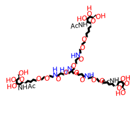 CC(=O)N[C@@H]1[C@@H](O)[C@@H](O)[C@@H](CO)O[C@@H]1CCCCCOCCOCCNC(=O)CCOCC(N)(COCCC(=O)NCCOCCOCCCCC[C@H]1O[C@H](CO)[C@H](O)[C@H](O)[C@H]1NC(C)=O)COCCC(=O)NCCOCCOCCCCC[C@H]1O[C@H](CO)[C@H](O)[C@H](O)[C@H]1NC(C)=O